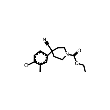 CCOC(=O)N1CCC(C#N)(c2ccc(Cl)c(C)c2)CC1